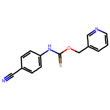 N#Cc1ccc(NC(=S)OCc2cccnc2)cc1